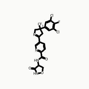 O=C(NC1CONC1=O)c1ccc(C2=NCC(c3cc(Cl)c(F)c(Cl)c3)(C(F)(F)F)C2)cn1